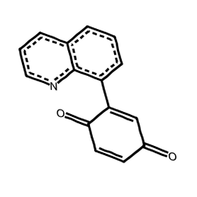 O=C1C=CC(=O)C(c2cccc3cccnc23)=C1